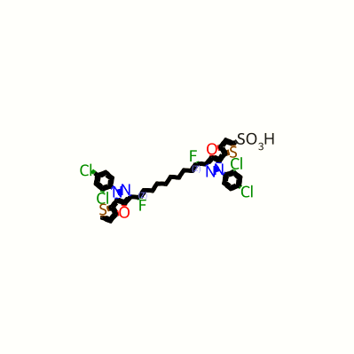 O=S(=O)(O)c1cc2oc3c(/C(F)=C/CCCCCC/C=C(\F)c4nn(-c5ccc(Cl)cc5Cl)c5c4oc4ccsc45)nn(-c4ccc(Cl)cc4Cl)c3c2s1